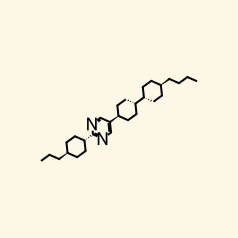 CCCC[C@H]1CC[C@H]([C@H]2CC[C@H](c3cnc([C@H]4CC[C@H](CCC)CC4)nc3)CC2)CC1